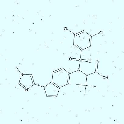 Cn1cnc(-n2ccc3cc(N(C(C(=O)O)C(C)(C)C)S(=O)(=O)c4cc(Cl)cc(Cl)c4)ccc32)c1